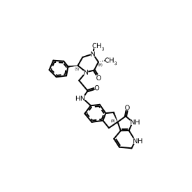 C[C@@H]1C(=O)N(CC(=O)Nc2ccc3c(c2)C[C@@]2(C3)C(=O)NC3=C2C=CCN3)[C@@H](c2ccccc2)CN1C